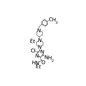 CCNC(=O)c1nc(Cl)c(N2CCN(C3CCN(Cc4ccc(C)cc4)CC3)[C@@H](CC)C2)nc1N